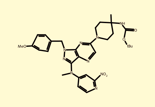 COc1ccc(Cn2nc(N(C)c3ccnc([N+](=O)[O-])c3)c3ncc(N4CCC(C)(NC(=O)OC(C)(C)C)CC4)nc32)cc1